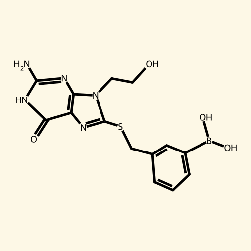 Nc1nc2c(nc(SCc3cccc(B(O)O)c3)n2CCO)c(=O)[nH]1